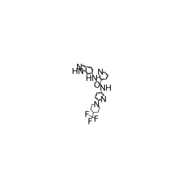 O=C(Nc1ccc(N2CCC(C(F)(F)F)CC2)nc1)c1cccnc1Nc1ccc2cn[nH]c2c1